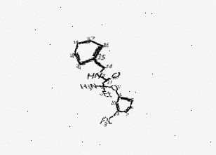 CC[C@](N)(Oc1cccc(C(F)(F)F)c1)C(=O)NCc1ccccc1